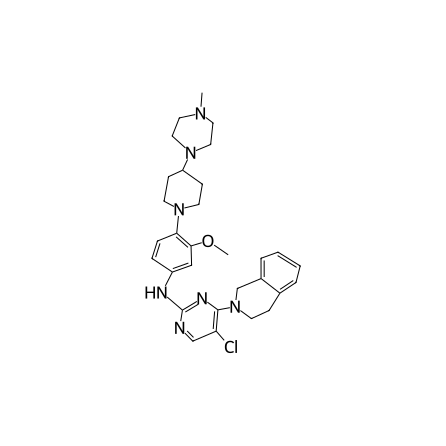 COc1cc(Nc2ncc(Cl)c(N3CCc4ccccc4C3)n2)ccc1N1CCC(N2CCN(C)CC2)CC1